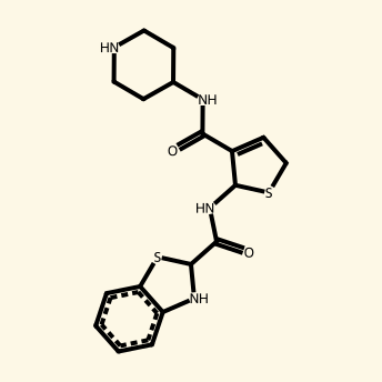 O=C(NC1CCNCC1)C1=CCSC1NC(=O)C1Nc2ccccc2S1